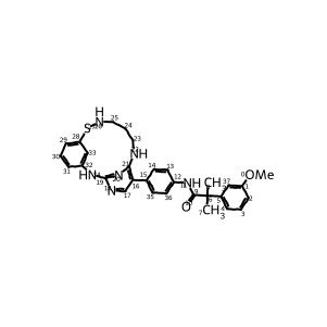 COc1cccc(C(C)(C)C(=O)Nc2ccc(-c3cnc4nc3NCCCNSc3cccc(c3)N4)cc2)c1